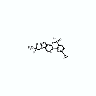 CCS(=O)(=O)c1ccc(C2CC2)nc1-c1cc2cnn(CC(F)(F)C(F)(F)F)c2cn1